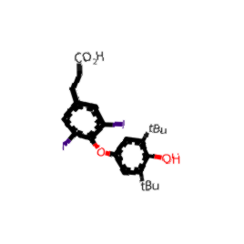 CC(C)(C)c1cc(Oc2c(I)cc(CCC(=O)O)cc2I)cc(C(C)(C)C)c1O